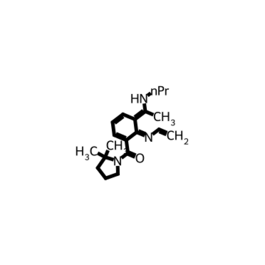 C=C/N=C1/C(C(=O)N2CCCC2(C)C)=CC=C/C1=C(/C)NCCC